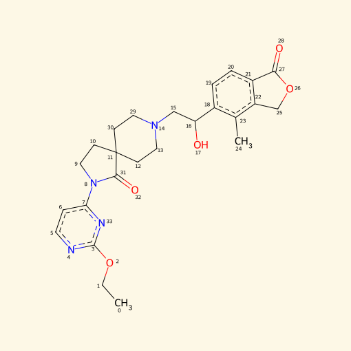 CCOc1nccc(N2CCC3(CCN(CC(O)c4ccc5c(c4C)COC5=O)CC3)C2=O)n1